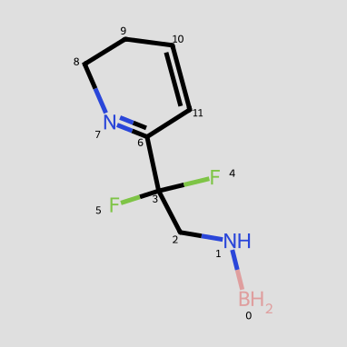 BNCC(F)(F)C1=NCCC=C1